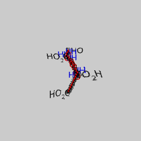 O=CNCC(=O)NC(CC(=O)NCCCOCCOCCOCCCNC(=O)C[C@H](NC(=O)CCCCCCCCCCCCCCCCC(=O)O)C(=O)O)C(=O)O